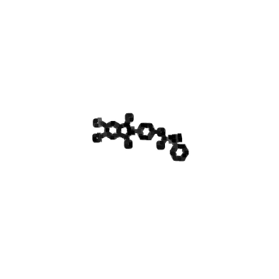 O=C(Nc1ccccc1)Oc1ccc(N2C(=O)c3cc(Cl)c(Cl)cc3C2=O)cc1